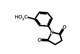 O=C(O)c1cccc(N2C(=O)CCC2=O)c1